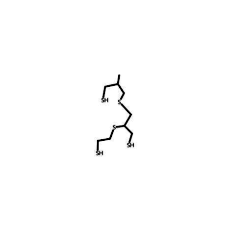 CC(CS)CSCC(CS)SCCS